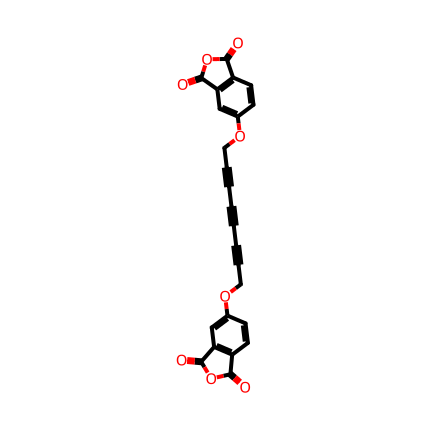 O=C1OC(=O)c2cc(OCC#CC#CC#CCOc3ccc4c(c3)C(=O)OC4=O)ccc21